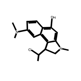 CC(Cl)C1CN(C)c2cc(O)c3ccc(N(C)C)cc3c21